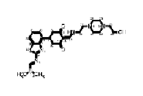 CN(C)C=Nc1nc2c(C3CC(=O)C(=CNCCN4CCN(CCO)CC4)C(=O)C3)cccc2s1